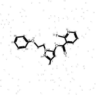 Cc1cc(OC(=O)c2cccnc2F)n(CCOc2ccccc2)n1